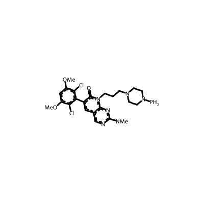 CNc1ncc2cc(-c3c(Cl)c(OC)cc(OC)c3Cl)c(=O)n(CCCN3CCN(P)CC3)c2n1